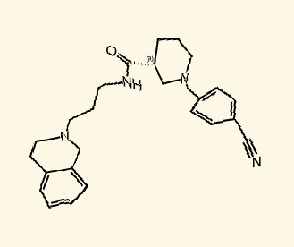 N#Cc1ccc(N2CCC[C@@H](C(=O)NCCCN3CCc4ccccc4C3)C2)cc1